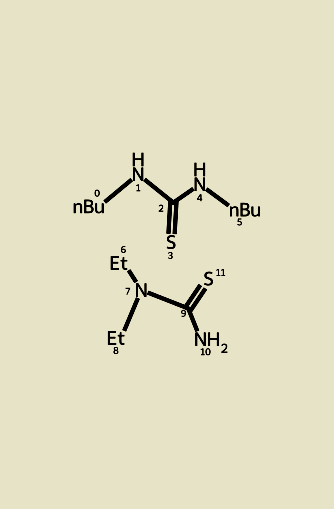 CCCCNC(=S)NCCCC.CCN(CC)C(N)=S